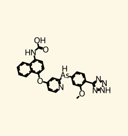 COc1cc([AsH]c2cc(Oc3ccc(NC(=O)O)c4ccccc34)ccn2)ccc1-c1nn[nH]n1